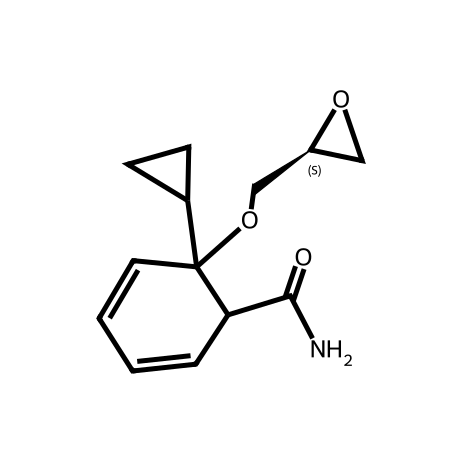 NC(=O)C1C=CC=CC1(OC[C@@H]1CO1)C1CC1